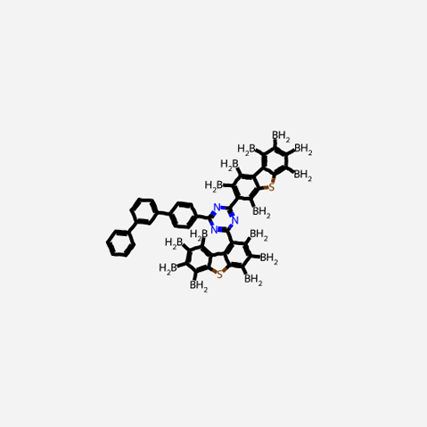 Bc1c(B)c(B)c2c(sc3c(B)c(-c4nc(-c5ccc(-c6cccc(-c7ccccc7)c6)cc5)nc(-c5c(B)c(B)c(B)c6sc7c(B)c(B)c(B)c(B)c7c56)n4)c(B)c(B)c32)c1B